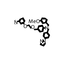 COc1cccc(CN(Cc2ccc(-n3cccn3)cc2)c2ccc(COCCOc3cccc(N(C)C)c3)cc2)c1